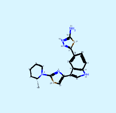 C[C@@H]1CCCCN1c1nc(-c2c[nH]c3ccc(-c4nnc(N)s4)cc23)cs1